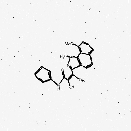 COc1cccc2ccc3c(C(O)=C(C#N)C(=O)Nc4ccccc4)nn(C)c3c12